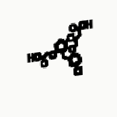 O=C(O)CCCOc1ccc(Cl)cc1Cc1cc(Cl)ccc1OCC(=O)O